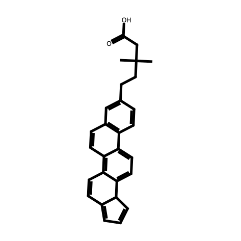 CC(C)(CCc1ccc2c(ccc3c4c(ccc32)C2C=CC=C2C=C4)c1)CC(=O)O